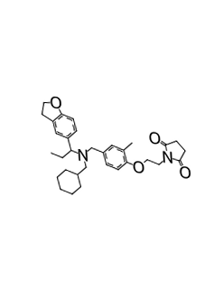 CCC(c1ccc2c(c1)CCO2)N(Cc1ccc(OCCN2C(=O)CCC2=O)c(C)c1)CC1CCCCC1